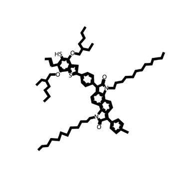 CC=Cc1c(S)c(OCC(CC)CCCC)c2cc(-c3ccc(C4=c5ccc6c7c(ccc6c5N(CCCCCCCCCCCC)C4=O)=C(c4ccc(C)cc4)C(=O)N7CCCCCCCCCCCC)cc3)sc2c1OCC(CC)CCCC